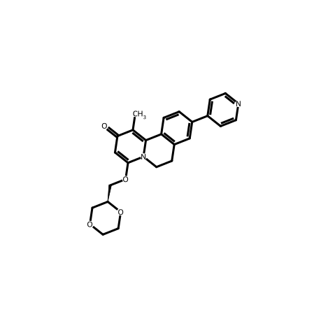 Cc1c2n(c(OC[C@@H]3COCCO3)cc1=O)CCc1cc(-c3ccncc3)ccc1-2